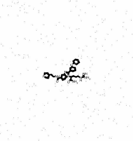 N=C(N)NCCCC(C(N)=O)n1c(-c2cccc(Oc3ccccc3)c2)nc2cc(C(=O)NCCc3ccncc3)ccc21